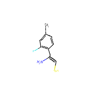 Cc1ccc(/C(N)=C/S)c(F)c1